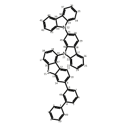 c1ccc(-c2cccc(-c3ccc4c(c3)sc3cccc(-n5c6ccccc6c6ccc(-n7c8ccccc8c8ccccc87)cc65)c34)c2)cc1